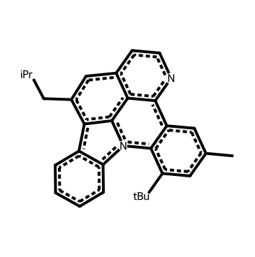 Cc1cc(C(C)(C)C)c2c(c1)c1nccc3cc(CC(C)C)c4c5ccccc5n2c4c31